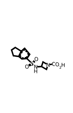 O=C(O)N1CC(NS(=O)(=O)c2ccc3c(c2)CCC3)C1